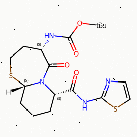 CC(C)(C)OC(=O)N[C@H]1CCS[C@H]2CCC[C@@H](C(=O)Nc3nccs3)N2C1=O